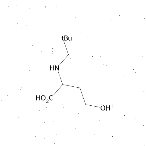 CC(C)(C)CNC(CCO)C(=O)O